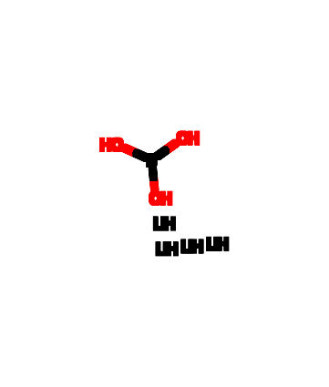 OB(O)O.[LiH].[LiH].[LiH].[LiH]